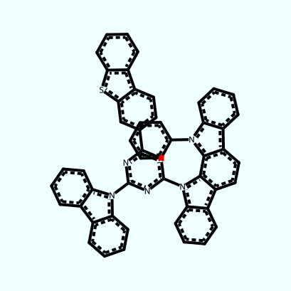 c1ccc(-n2c3ccccc3c3ccc4c5ccccc5n(-c5nc(-c6ccc7c(c6)sc6ccccc67)nc(-n6c7ccccc7c7ccccc76)n5)c4c32)cc1